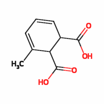 CC1=CC=CC(C(=O)O)C1C(=O)O